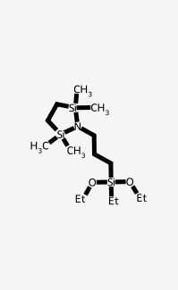 CCO[Si](CC)(CCCN1[Si](C)(C)CC[Si]1(C)C)OCC